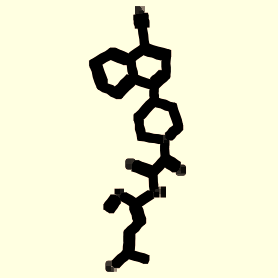 C=N/C(=C\C=C(/C)Cl)NC(=O)C(=O)N1CCC(c2ccc(C#N)c3ccccc23)CC1